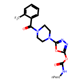 CCCCCNC(=O)Oc1nnc(N2CCN(C(=O)c3ccccc3C(F)(F)F)CC2)o1